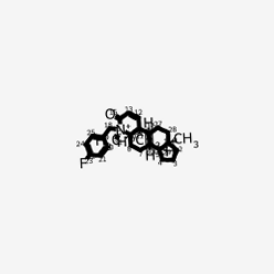 C[C@@]12CCC[C@H]1[C@@H]1CC[C@@H]3[C@](C)(C=CC(=O)[N+]3(C)Cc3ccc(F)cc3)[C@H]1CC2